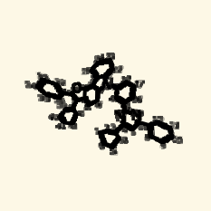 c1ccc(-c2cc(-c3ccccc3)nc(-c3cccc(-n4c5ccccc5c5c6oc(-c7ccccc7)c(-c7ccccc7)c6ccc54)c3)n2)cc1